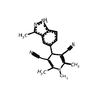 CC1=C(C#N)C(c2ccc3[nH]nc(C)c3c2)C(C#N)=C(C)N1C